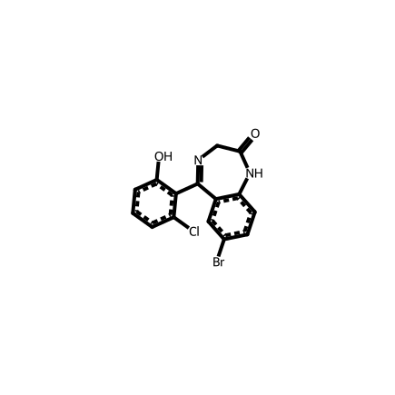 O=C1CN=C(c2c(O)cccc2Cl)c2cc(Br)ccc2N1